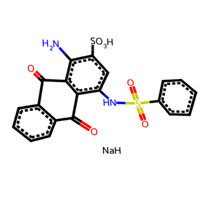 Nc1c(S(=O)(=O)O)cc(NS(=O)(=O)c2ccccc2)c2c1C(=O)c1ccccc1C2=O.[NaH]